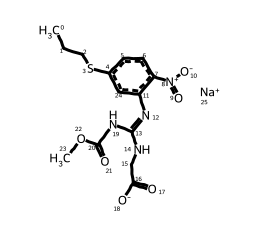 CCCSc1ccc([N+](=O)[O-])c(N=C(NCC(=O)[O-])NC(=O)OC)c1.[Na+]